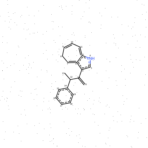 C=C(c1c[nH]c2c1=CCC=CC=2)C(C)c1ccccc1